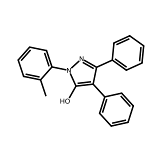 Cc1ccccc1-n1nc(-c2ccccc2)c(-c2ccccc2)c1O